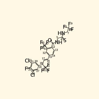 O=C(NCC(=S)NCC(F)(F)F)c1ccc(/C=C/C(c2cc(Cl)c(F)c(Cl)c2)C(F)(F)F)cc1C(F)(F)F